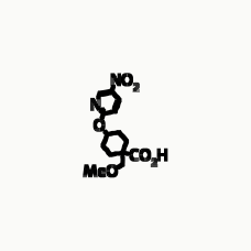 COCC1(C(=O)O)CCC(Oc2ccc([N+](=O)[O-])cn2)CC1